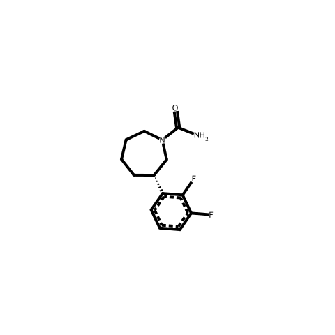 NC(=O)N1CCCC[C@@H](c2cccc(F)c2F)C1